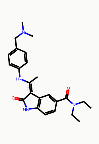 CCN(CC)C(=O)c1ccc2c(c1)/C(=C(\C)Nc1ccc(CN(C)C)cc1)C(=O)N2